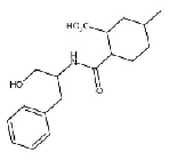 CC1CCC(C(=O)NC(CO)Cc2ccccc2)C(C(=O)O)C1